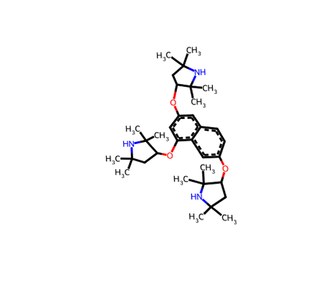 CC1(C)CC(Oc2cc(OC3CC(C)(C)NC3(C)C)c3cc(OC4CC(C)(C)NC4(C)C)ccc3c2)C(C)(C)N1